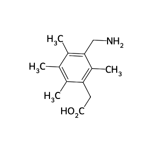 Cc1c(C)c(CN)c(C)c(CC(=O)O)c1C